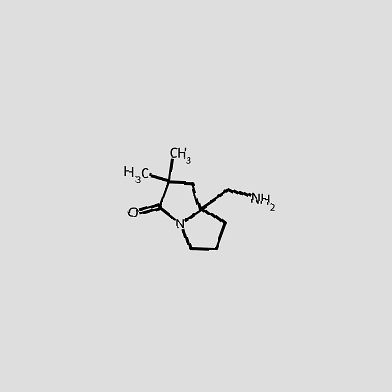 CC1(C)CC2(CN)CCCN2C1=O